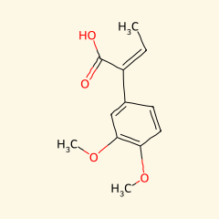 CC=C(C(=O)O)c1ccc(OC)c(OC)c1